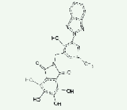 Cc1cc(CN2C(=O)c3c(O)c(O)c(O)c(O)c3C2=O)c(O)c(-n2nc3ccccc3n2)c1